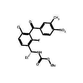 CC[C@@H](NC(=O)OC(C)(C)C)c1ccc(Cl)c(C(=O)c2ccc([N+](=O)[O-])c(C)c2)c1F